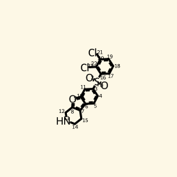 O=S(=O)(c1ccc2c3c(oc2c1)CNCC3)c1cccc(Cl)c1Cl